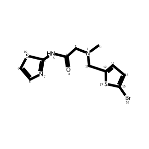 CN(CC(=O)Nc1nccs1)Cc1ccc(Br)s1